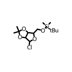 CC1(C)OC2C(Cl)OC(CO[Si](C)(C)C(C)(C)C)C2O1